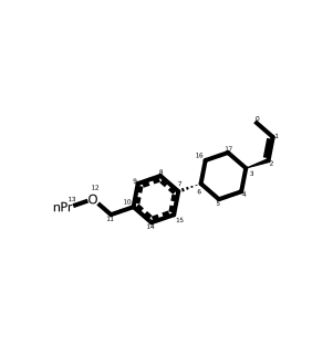 C/C=C\[C@H]1CC[C@H](c2ccc(COCCC)cc2)CC1